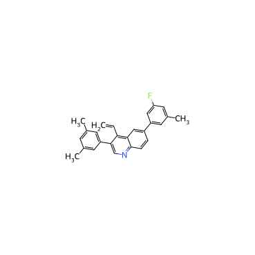 C=Cc1c(-c2cc(C)cc(C)c2)cnc2ccc(-c3cc(C)cc(F)c3)cc12